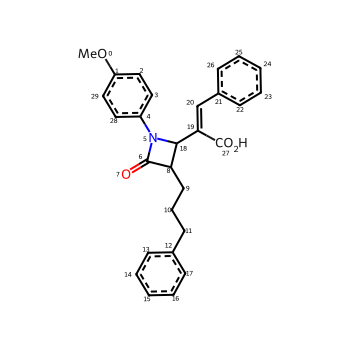 COc1ccc(N2C(=O)C(CCCc3ccccc3)C2C(=Cc2ccccc2)C(=O)O)cc1